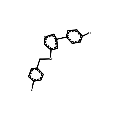 Oc1ccc(-c2cncc(NCc3ccc(Cl)cc3)c2)cc1